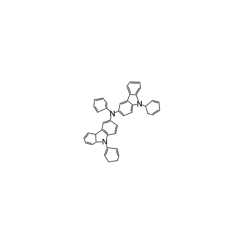 C1=CCC(n2c3ccccc3c3cc(N(c4ccccc4)c4ccc5c(c4)C4C=CC=CC4N5C4=CCCC=C4)ccc32)C=C1